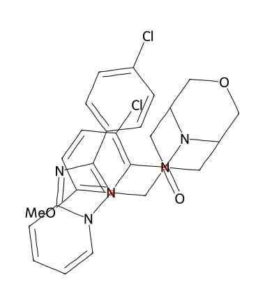 COc1ccc(Cl)c(C(=O)N2C3COCC2CN(Cc2c(-c4ccc(Cl)cc4)nc4ccccn24)C3)n1